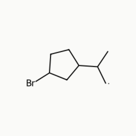 [CH2]C(C)C1CCC(Br)C1